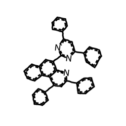 c1ccc(-c2cc(-c3ccccc3)nc(-c3cc4ccccc4c4c(-c5ccccc5)cc(-c5ccccc5)nc34)n2)cc1